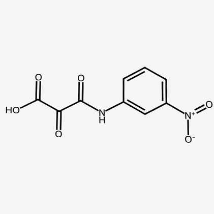 O=C(O)C(=O)C(=O)Nc1cccc([N+](=O)[O-])c1